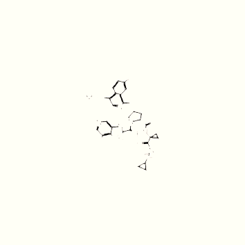 COc1cnc(O[C@@H]2C[C@@H](C(=O)N[C@]3(C(=O)NS(=O)(=O)C4CC4)C[C@H]3I)N(C(=O)C(Nc3cncc(C(F)(F)F)c3)C(C)(C)C)C2)c2cc(Cl)ccc12